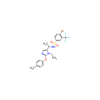 CCn1c(C(C)NS(=O)(=O)c2ccc(Br)c(C(F)(F)F)c2)cnc1Oc1ccc(C)cc1